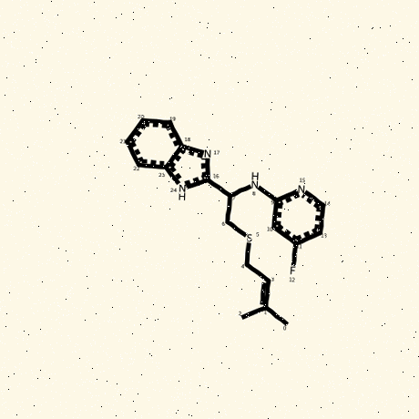 CC(C)=CCSCC(Nc1cc(F)ccn1)c1nc2ccccc2[nH]1